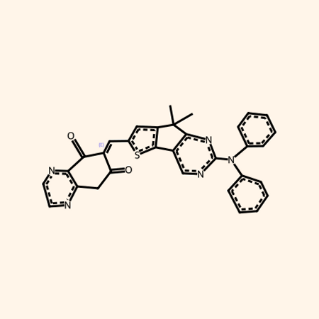 CC1(C)c2cc(/C=C3\C(=O)Cc4nccnc4C3=O)sc2-c2cnc(N(c3ccccc3)c3ccccc3)nc21